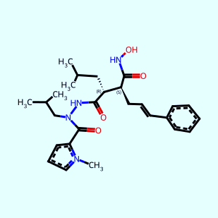 CC(C)C[C@@H](C(=O)NN(CC(C)C)C(=O)c1cccn1C)[C@H](CC=Cc1ccccc1)C(=O)NO